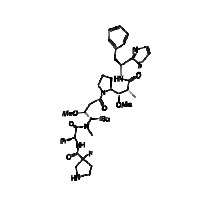 CC[C@H](C)[C@@H](C(CC(=O)N1CCC[C@H]1[C@H](OC)[C@@H](C)C(=O)N[C@@H](Cc1ccccc1)c1nccs1)OC)N(C)C(=O)[C@@H](NC(=O)C1(F)CCNC1)C(C)C